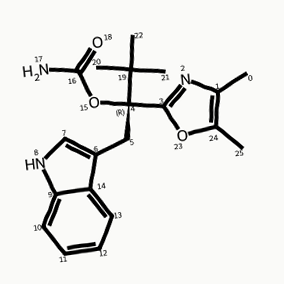 Cc1nc([C@](Cc2c[nH]c3ccccc23)(OC(N)=O)C(C)(C)C)oc1C